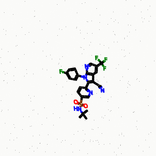 CC(C)(C)NS(=O)(=O)c1ccc(-c2c(C#N)c3cc(C(F)(F)F)cnc3n2-c2ccc(F)cc2)nc1